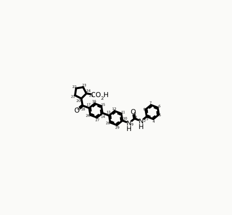 O=C(Nc1ccccc1)Nc1ccc(-c2ccc(C(=O)C3CCCC3C(=O)O)cc2)cc1